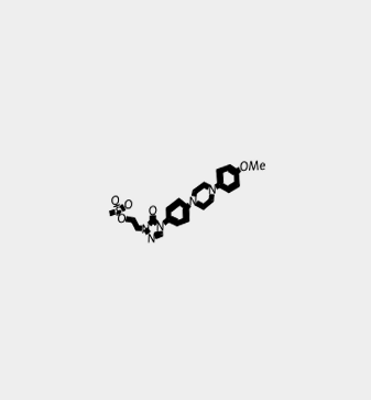 COc1ccc(N2CCN(c3ccc(-n4cnn(CCOS(C)(=O)=O)c4=O)cc3)CC2)cc1